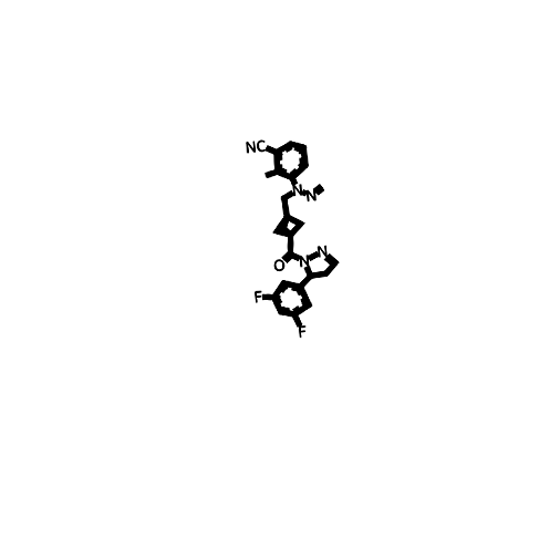 C=NN(CC12CC(C(=O)N3N=CCC3c3cc(F)cc(F)c3)(C1)C2)c1cccc(C#N)c1C